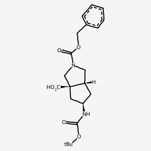 CC(C)(C)OC(=O)N[C@@H]1C[C@H]2CN(C(=O)OCc3ccccc3)C[C@@]2(C(=O)O)C1